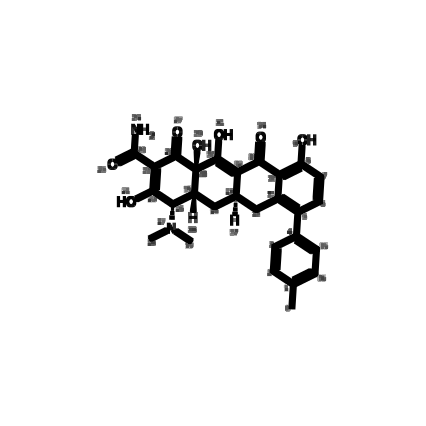 Cc1ccc(-c2ccc(O)c3c2C[C@H]2C[C@@H]4[C@H](N(C)C)C(O)=C(C(N)=O)C(=O)[C@]4(O)C(O)=C2C3=O)cc1